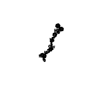 C=C1C=Cc2c(CCNCc3cc(C)c(NC(=O)CCCCN(C)C(=O)CCN4CCC(OC(=O)Nc5ccccc5-c5ccccc5)CC4)cc3C)ccc(N=O)c2N1